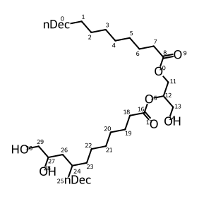 CCCCCCCCCCCCCCCCCC(=O)OCC(CO)OC(=O)CCCCCCC(CCCCCCCCCC)CC(O)CO